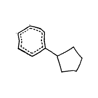 [c]1[c]cc(C2CCCC2)cc1